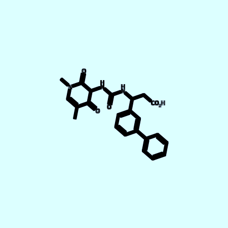 CC1=CN(C)C(=O)C(NC(=O)NC(CC(=O)O)c2cccc(-c3ccccc3)c2)C1=O